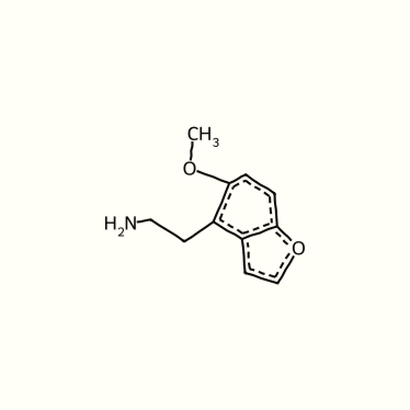 COc1ccc2occc2c1CCN